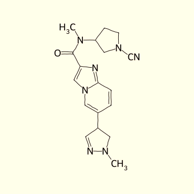 CN1CC(c2ccc3nc(C(=O)N(C)C4CCN(C#N)C4)cn3c2)C=N1